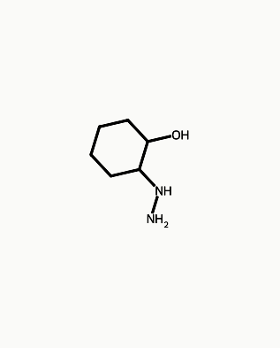 NNC1CCCCC1O